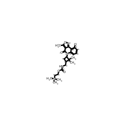 Cc1onc2c1c(=O)n(C1CC(CNC(=O)OCC[Si](C)(C)C)C1(C)C)c1cccc(Cl)c21